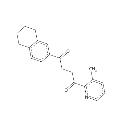 Cc1cccnc1C(=O)CCC(=O)c1ccc2c(c1)CCCC2